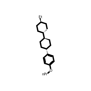 CCCOc1ccc([C@H]2CC[C@H]([C@H]3CC[C@H](CC)CC3)CC2)cc1